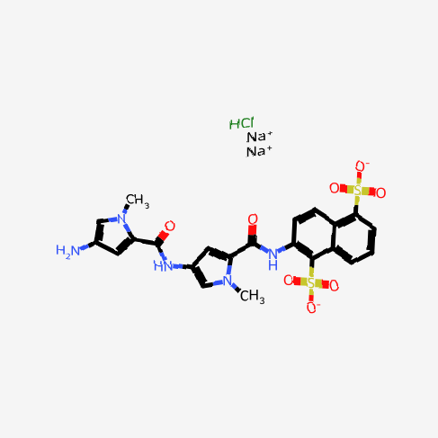 Cl.Cn1cc(N)cc1C(=O)Nc1cc(C(=O)Nc2ccc3c(S(=O)(=O)[O-])cccc3c2S(=O)(=O)[O-])n(C)c1.[Na+].[Na+]